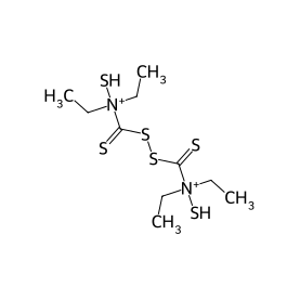 CC[N+](S)(CC)C(=S)SSC(=S)[N+](S)(CC)CC